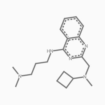 CN(C)CCCNc1nc(CN(C)C2CCC2)nc2ccccc12